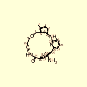 Cc1ccc2cc1COCCCCNC(=O)c1cc(N)c(cn1)-c1ccnc(n1)N2